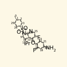 Cc1ccc(S(=O)(=O)n2cc(C(C)C)c3c(Oc4c(F)cc(N)cc4F)ccnc32)cc1